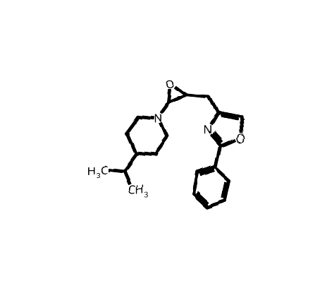 CC(C)C1CCN(C2OC2Cc2coc(-c3ccccc3)n2)CC1